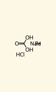 Cl.O=C(O)O.[Fe].[NaH]